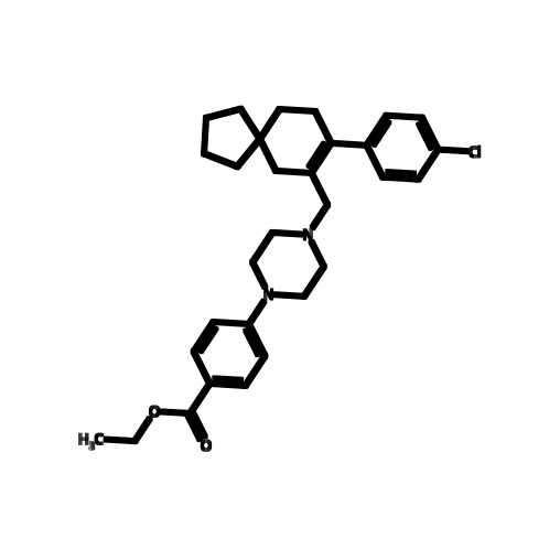 CCOC(=O)c1ccc(N2CCN(CC3=C(c4ccc(Cl)cc4)CCC4(CCCC4)C3)CC2)cc1